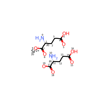 N[C@H](CCC(=O)O)C(=O)[O-].N[C@H](CCC(=O)O)C(=O)[O-].[Sr+2]